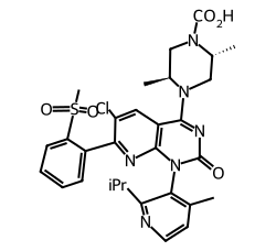 Cc1ccnc(C(C)C)c1-n1c(=O)nc(N2C[C@@H](C)N(C(=O)O)C[C@@H]2C)c2cc(Cl)c(-c3ccccc3S(C)(=O)=O)nc21